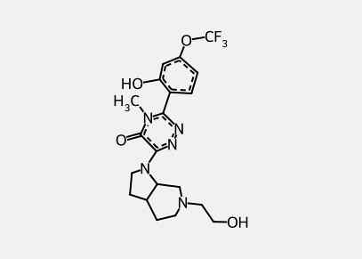 Cn1c(-c2ccc(OC(F)(F)F)cc2O)nnc(N2CCC3CCN(CCO)CC32)c1=O